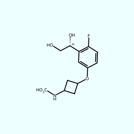 O=C(O)NC1CC(Oc2ccc(F)c([C@@H](O)CO)c2)C1